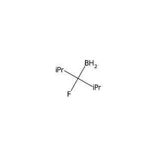 BC(F)(C(C)C)C(C)C